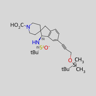 CC(C)(C)[S@@+]([O-])N[C@@H]1c2cc(C#CCO[Si](C)(C)C(C)(C)C)ccc2CC12CCN(C(=O)O)CC2